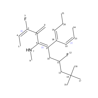 C=C(/C(F)=C\C)/C(NC)=C(/CC(F)CC(C)(C)C)C(=CCC)/C=C\C